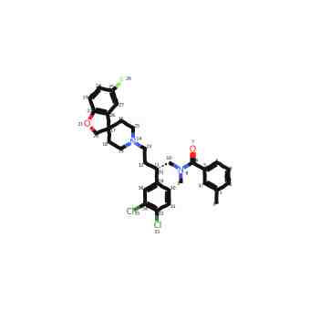 Cc1cccc(C(=O)N(C)C[C@@H](CCN2CCC3(CC2)COc2ccc(F)cc23)c2ccc(Cl)c(Cl)c2)c1